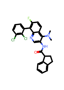 CN(C)c1c(NC(=O)C2CCc3ccccc32)cnc2c(-c3cccc(Cl)c3Cl)c(F)ccc12